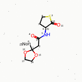 CCCCCCCCCC1(CC(=O)N[C@H]2CCSC2=O)OCCO1